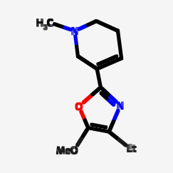 CCc1nc(C2=CCCN(C)C2)oc1OC